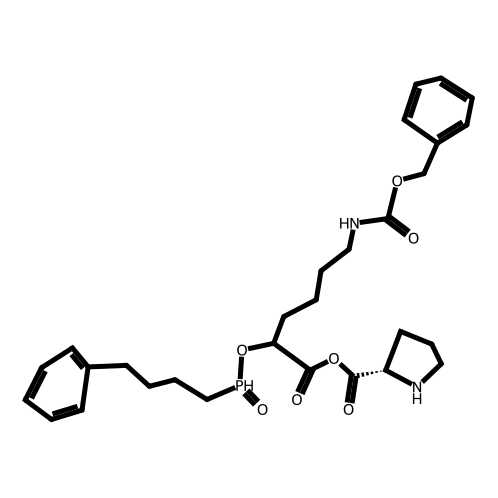 O=C(NCCCCC(O[PH](=O)CCCCc1ccccc1)C(=O)OC(=O)[C@@H]1CCCN1)OCc1ccccc1